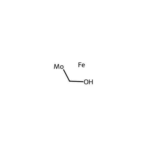 O[CH2][Mo].[Fe]